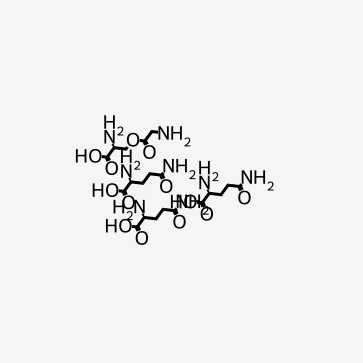 NC(=O)CC[C@H](N)C(=O)O.NC(=O)CC[C@H](N)C(=O)O.NC(=O)CC[C@H](N)C(=O)O.NCC(=O)OC[C@H](N)C(=O)O